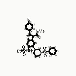 CCS(=O)(=O)Nc1cc2oc(-c3ccc(F)cc3)c(C(=O)NC)c2cc1[C@@H]1CCCN(S(=O)(=O)c2ccccc2)C1